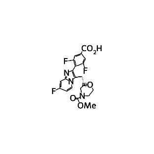 COC(=O)N1CCO[C@@H](Cc2c(-c3c(F)cc(C(=O)O)cc3F)nc3cc(F)ccn23)C1